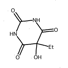 CCC1(O)C(=O)NC(=O)NC1=O